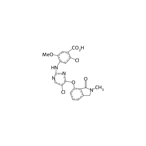 COc1cc(C(=O)O)c(Cl)cc1Nc1ncc(Cl)c(Oc2cccc3c2C(=O)N(C)C3)n1